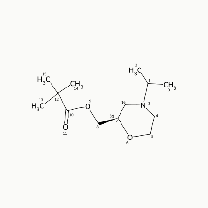 CC(C)N1CCO[C@@H](COC(=O)C(C)(C)C)C1